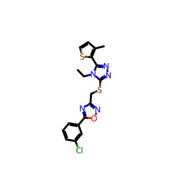 CCn1c(SCc2noc(-c3cccc(Cl)c3)n2)nnc1-c1sccc1C